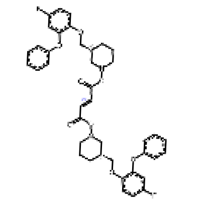 O=C(/C=C/C(=O)ON1CCC[C@H](COc2ccc(F)cc2Oc2ccccc2)C1)ON1CCC[C@H](COc2ccc(F)cc2Oc2ccccc2)C1